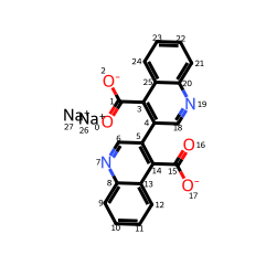 O=C([O-])c1c(-c2cnc3ccccc3c2C(=O)[O-])cnc2ccccc12.[Na+].[Na+]